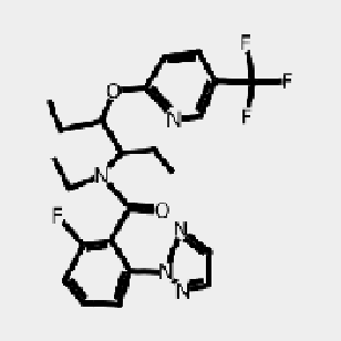 CCC(Oc1ccc(C(F)(F)F)cn1)C(CC)N(CC)C(=O)c1c(F)cccc1-n1nccn1